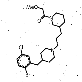 COCC(=O)N1CCCC(CCCN2CCC(Cc3cc(Cl)ccc3Br)CC2)C1